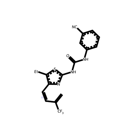 C=C(/C=C\c1nc(NC(=O)Nc2cccc(C#N)c2)sc1CC)C(F)(F)F